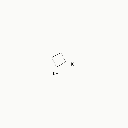 C1CCC1.[KH].[KH]